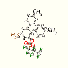 Cc1ccc(-c2cccc(OS(=O)(=O)C(F)(F)C(F)(F)C(F)F)c2-c2ccc(C)cc2)cc1.S